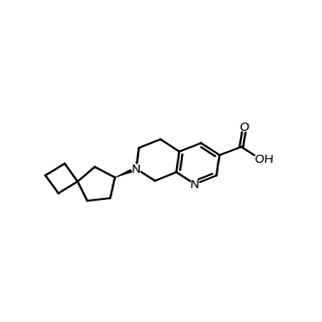 O=C(O)c1cnc2c(c1)CCN([C@H]1CCC3(CCC3)C1)C2